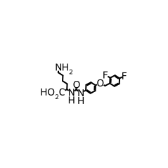 NCCCCC(NC(=O)Nc1ccc(OCc2ccc(F)cc2F)cc1)C(=O)O